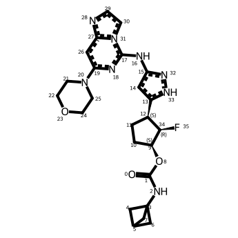 O=C(NC12CC(C1)C2)O[C@H]1CC[C@@H](c2cc(Nc3nc(N4CCOCC4)cc4nccn34)n[nH]2)[C@H]1F